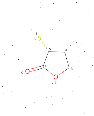 O=C1OCC[C@H]1S